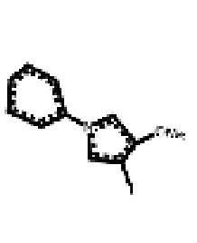 COc1cn(-c2ccccc2)cc1I